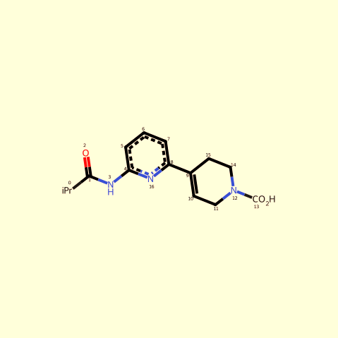 CC(C)C(=O)Nc1cccc(C2=CCN(C(=O)O)CC2)n1